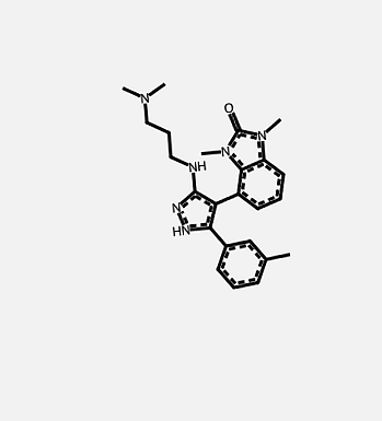 Cc1cccc(-c2[nH]nc(NCCCN(C)C)c2-c2cccc3c2n(C)c(=O)n3C)c1